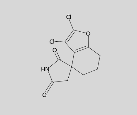 O=C1CC2(CCCc3oc(Cl)c(Cl)c32)C(=O)N1